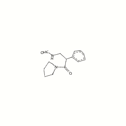 O=CNCC(C(=O)N1CCCC1)c1ccccc1